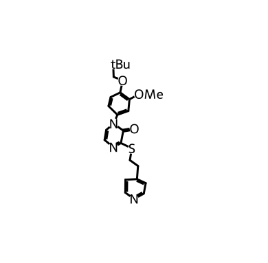 COc1cc(-n2ccnc(SCCc3ccncc3)c2=O)ccc1OCC(C)(C)C